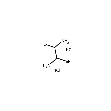 CCCC(N)C(C)N.Cl.Cl